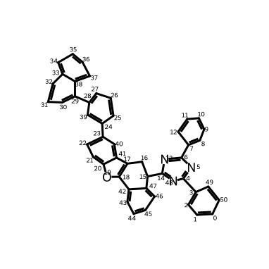 c1ccc(-c2nc(-c3ccccc3)nc(C3Cc4c(oc5ccc(-c6cccc(-c7cccc8ccccc78)c6)cc45)-c4ccccc43)n2)cc1